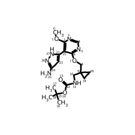 COc1ncnc(OCC2(CNC(=O)OC(C)(C)C)CC2)c1-c1cc(N)n[nH]1